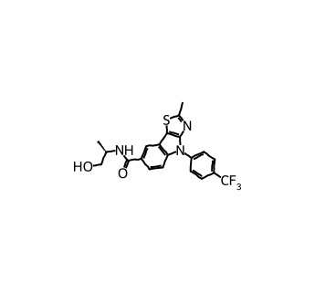 Cc1nc2c(s1)c1cc(C(=O)N[C@H](C)CO)ccc1n2-c1ccc(C(F)(F)F)cc1